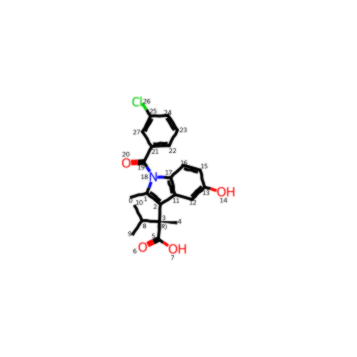 Cc1c([C@](C)(C(=O)O)C(C)C)c2cc(O)ccc2n1C(=O)c1cccc(Cl)c1